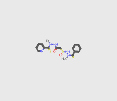 CCN(NC(=O)C[S+]([O-])NN(C)C(=S)c1ccccc1)C(=S)c1ccccn1